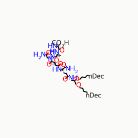 CCCCCCCCCCCCCCOCC(CNC(=O)CC[C@H](NC(=O)/C=C/C(=O)N(CC(N)=O)NC(=O)[C@H](C)NC(=O)[C@H](C)NC(=O)O)C(N)=O)OCCCCCCCCCCCCCC